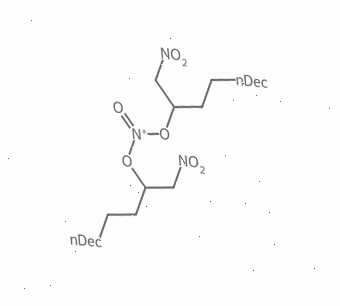 CCCCCCCCCCCCC(C[N+](=O)[O-])O[N+](=O)OC(CCCCCCCCCCCC)C[N+](=O)[O-]